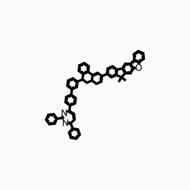 CC1(C)c2cc(C3=CCC4CC(c5cccc(-c6ccc(C7=C=CC(c8ccccc8)=NC(c8ccccc8)=N7)cc6)c5)c5ccccc5C4=C3)ccc2-c2cc3c(cc21)oc1ccccc13